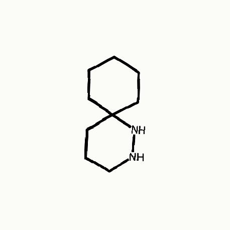 C1CCC2(CC1)CCCNN2